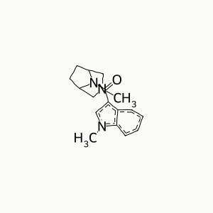 CN1CC2CCC(C1)N2C(=O)c1cn(C)c2ccccc12